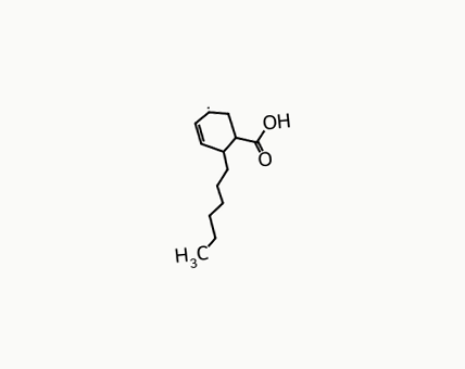 CCCCCCC1C=C[CH]CC1C(=O)O